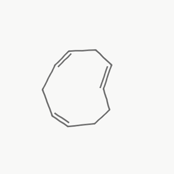 C1=C\C/C=C/CC/C=C\C/1